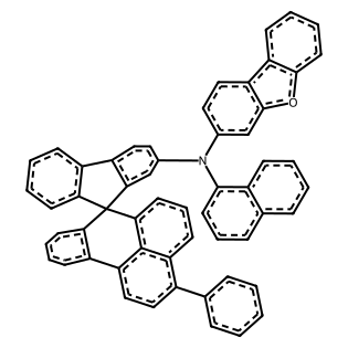 c1ccc(-c2ccc3c4c(cccc24)C2(c4ccccc4-c4ccc(N(c5ccc6c(c5)oc5ccccc56)c5cccc6ccccc56)cc42)c2ccccc2-3)cc1